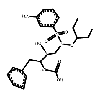 CCC(CC)ON(C[C@H](O)[C@H](Cc1ccccc1)NC(=O)O)S(=O)(=O)c1cccc(N)c1